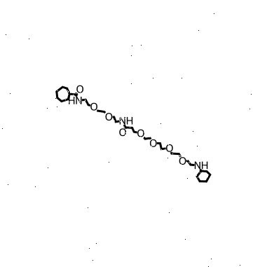 O=C(CCOCCOCCOCCOCCNC1CCCCC1)NCCOCCOCCNC(=O)C1CCCCCC1